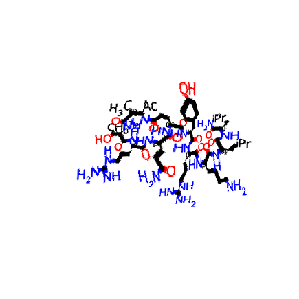 CC(=O)C[C@H](C)C(=O)N[C@H](C(=O)N[C@@H](CCCNC(=N)N)C(=O)N[C@@H](CCC(N)=O)C(=O)N[C@@H](CCC(N)=O)C(=O)N[C@@H](Cc1ccc(O)cc1)C(=O)N[C@@H](CCCNC(=N)N)C(=O)N[C@@H](CCCCN)C(=O)N[C@@H](CC(C)C)C(=O)N[C@@H](CC(C)C)C(N)=O)[C@@H](C)O